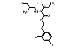 CC[C@H](C)[C@@H](NCC(N)CS)C(=O)NCCc1ccc(Cl)cc1Cl